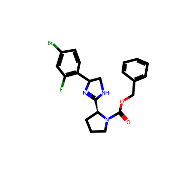 O=C(OCc1ccccc1)N1CCC[C@H]1C1=NC(c2ccc(Br)cc2F)CN1